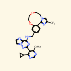 COc1ncnc(C2CC2)c1-c1nc(NCc2ccc3c(c2)OCCOCCn2cc(C(F)(F)F)nc2-3)c2nccn2n1